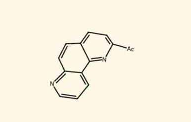 CC(=O)c1ccc2ccc3ncccc3c2n1